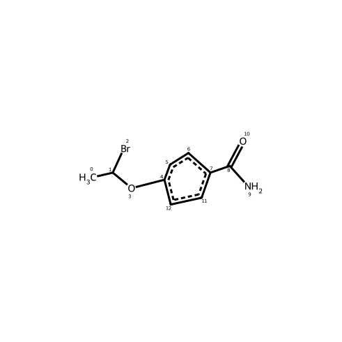 CC(Br)Oc1ccc(C(N)=O)cc1